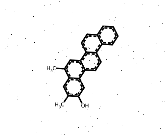 Cc1cc2c(C)cc3c(ccc4c5ccccc5ccc43)c2cc1O